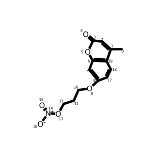 Cc1cc(=O)oc2cc(OCCCO[N+](=O)[O-])ccc12